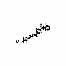 CNCC(=O)NC/C(C)=C/N=C(\C)c1cnc(NC(C)(C)c2ncccc2F)nc1